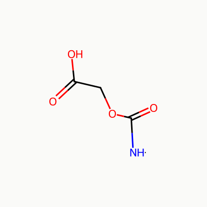 [NH]C(=O)OCC(=O)O